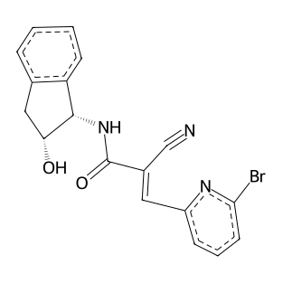 N#CC(=Cc1cccc(Br)n1)C(=O)N[C@H]1c2ccccc2C[C@H]1O